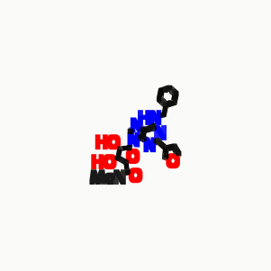 CNC(=O)C1OC(n2cnc3c(NCc4ccccc4)nc(-c4ccoc4)nc32)C(O)C1O